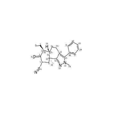 CC[C@@H]1C(=O)C(C#N)C[C@]2(C)c3nn(C)c(-c4ccccc4)c3CC[C@@H]12